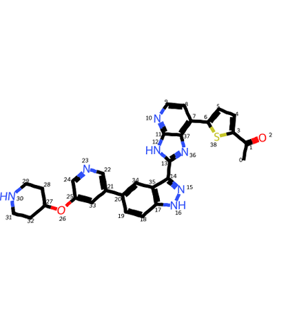 CC(=O)c1ccc(-c2ccnc3[nH]c(-c4n[nH]c5ccc(-c6cncc(OC7CCNCC7)c6)cc45)nc23)s1